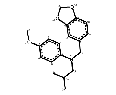 COc1ccc(N(Cc2ccc3c(c2)OCO3)CC(C)C)cc1